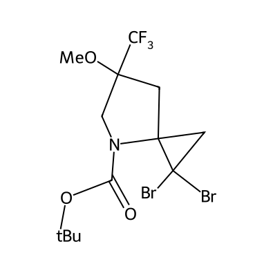 COC1(C(F)(F)F)CN(C(=O)OC(C)(C)C)C2(CC2(Br)Br)C1